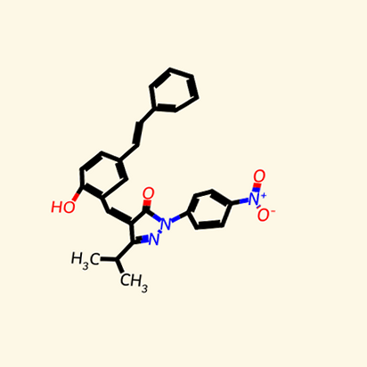 CC(C)C1=NN(c2ccc([N+](=O)[O-])cc2)C(=O)C1=Cc1cc(C=Cc2ccccc2)ccc1O